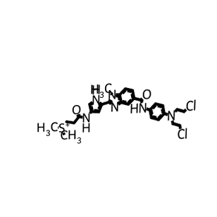 Cn1c(-c2cc(NC(=O)CC[S+](C)C)c[nH]2)nc2cc(C(=O)Nc3ccc(N(CCCl)CCCl)cc3)ccc21